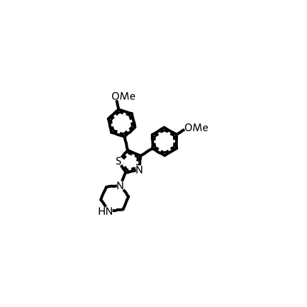 COc1ccc(-c2nc(N3CCNCC3)sc2-c2ccc(OC)cc2)cc1